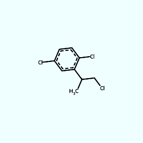 C[C](CCl)c1cc(Cl)ccc1Cl